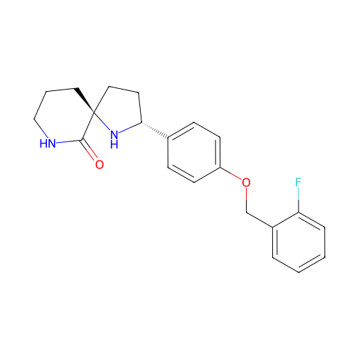 O=C1NCCC[C@]12CC[C@H](c1ccc(OCc3ccccc3F)cc1)N2